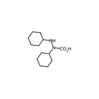 O=C(O)N(NC1CCCCC1)C1CCCCC1